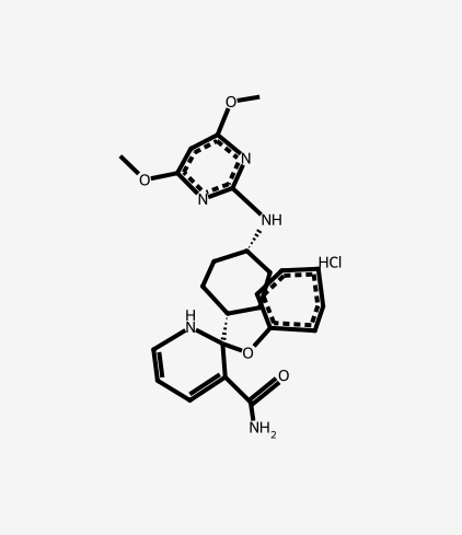 COc1cc(OC)nc(N[C@H]2CC[C@@H](C3(Oc4ccccc4)NC=CC=C3C(N)=O)CC2)n1.Cl